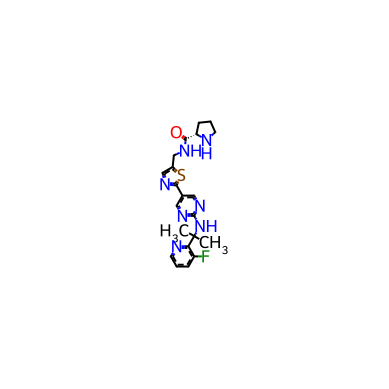 CC(C)(Nc1ncc(-c2ncc(CNC(=O)[C@@H]3CCCN3)s2)cn1)c1ncccc1F